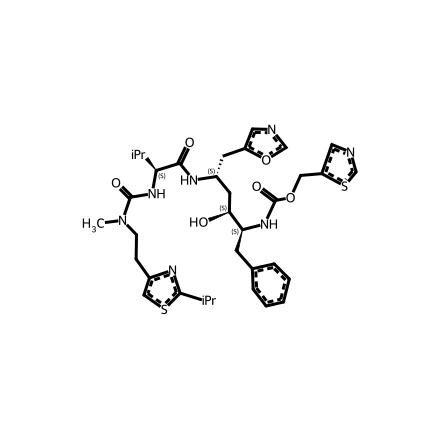 CC(C)c1nc(CCN(C)C(=O)N[C@H](C(=O)N[C@H](Cc2cnco2)C[C@H](O)[C@H](Cc2ccccc2)NC(=O)OCc2cncs2)C(C)C)cs1